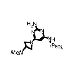 CCCC(C)Nc1cc(N2CC(NC)C2)nc(N)n1